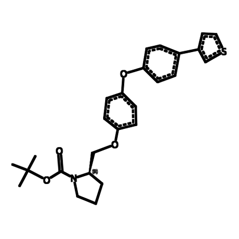 CC(C)(C)OC(=O)N1CCC[C@@H]1COc1ccc(Oc2ccc(-c3ccsc3)cc2)cc1